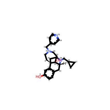 Oc1ccc2c(c1)[C@@]13CCN(Cc4ccncc4)CC[C@@]1(O)[C@@H](C2)N(CC1CC1)CC3